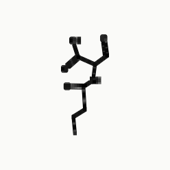 CCCC(=O)NC(C=O)C(=O)O